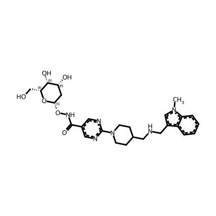 Cn1cc(CNCC2CCN(c3ncc(C(=O)NO[C@H]4C[C@@H](O)[C@@H](O)[C@@H](CO)O4)cn3)CC2)c2ccccc21